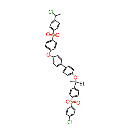 CCC(C)(Oc1ccc(-c2ccc(Oc3ccc(S(=O)(=O)c4ccc(C(C)Cl)cc4)cc3)cc2)cc1)c1ccc(S(=O)(=O)c2ccc(Cl)cc2)cc1